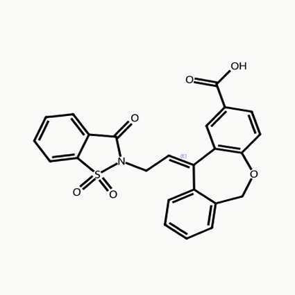 O=C(O)c1ccc2c(c1)/C(=C/CN1C(=O)c3ccccc3S1(=O)=O)c1ccccc1CO2